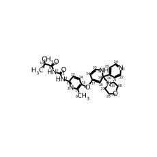 Cc1nc(NC(=O)NC(=O)C(C)C)ccc1OC1=CC(c2ccncc2)(N2CCOCC2)NC=C1